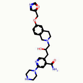 NC(=O)c1cc(N2CCNCC2)ncc1CC(O)CN1CCc2cc(OCc3cnco3)ccc2C1